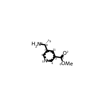 COC(=O)c1cncc([C@@H](C)N)c1